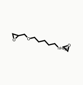 C1CO1.CCCCCCCCCCCCOCC1CO1